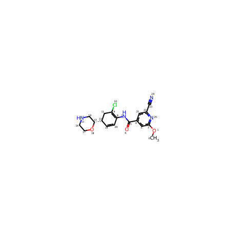 COc1cc(C(=O)NC2=C(Cl)CC([C@H]3CNCCO3)C=C2)cc(C#N)n1